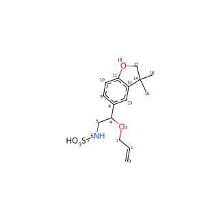 C=CCOC(CNS(=O)(=O)O)c1ccc2c(c1)C(C)(C)CO2